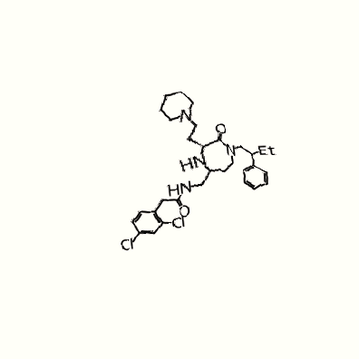 CCC(CN1CC[C@@H](CNC(=O)Cc2ccc(Cl)cc2Cl)N[C@@H](CCN2CCCCC2)C1=O)c1ccccc1